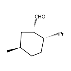 CC(C)[C@@H]1CC[C@@H](C)C[C@@H]1C=O